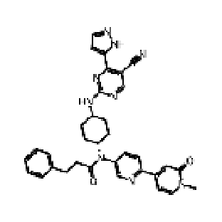 Cn1ccc(-c2ccc(N(C(=O)CCc3ccccc3)[C@H]3CC[C@H](Nc4ncc(C#N)c(-c5ccn[nH]5)n4)CC3)cn2)cc1=O